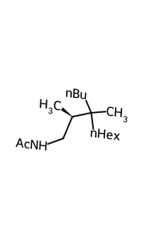 CCCCCCC(C)(CCCC)[C@H](C)CNC(C)=O